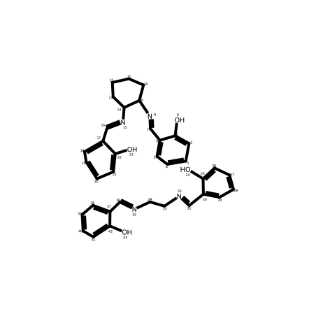 Oc1ccccc1C=NC1CCCCC1N=Cc1ccccc1O.Oc1ccccc1C=NCCN=Cc1ccccc1O